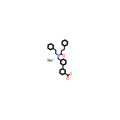 O=C([O-])c1cccc(-c2cccc(CN(CCc3ccccc3)C(=O)CCc3ccccc3)c2)c1.[Na+]